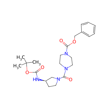 CC(C)(C)OC(=O)N[C@@H]1CCN(C(=O)N2CCN(C(=O)OCc3ccccc3)CC2)C1